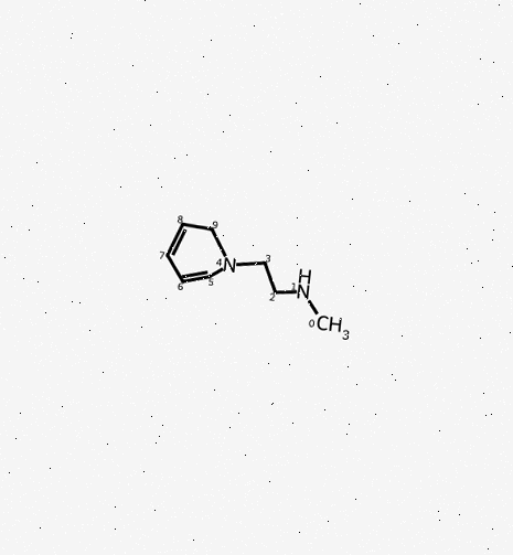 CNCCN1C=CC=CC1